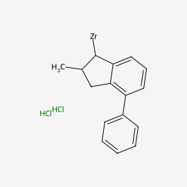 CC1Cc2c(-c3ccccc3)cccc2[CH]1[Zr].Cl.Cl